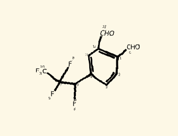 O=Cc1ccc(C(F)C(F)(F)C(F)(F)F)cc1C=O